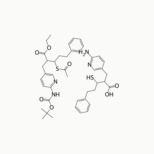 CCOC(=O)C(Cc1ccc(NC(=O)OC(C)(C)C)nc1)C(CCc1ccccc1)SC(C)=O.Nc1ccc(CC(C(=O)O)C(S)CCc2ccccc2)cn1